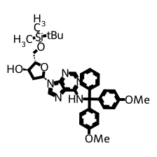 COc1ccc(C(Nc2ncnc3c2ncn3[C@@H]2C[C@@H](O)[C@H](CO[Si](C)(C)C(C)(C)C)O2)(c2ccccc2)c2ccc(OC)cc2)cc1